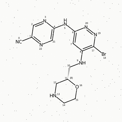 N#Cc1cnc(Nc2cc(NC[C@H]3CNCCO3)c(Br)nn2)cn1